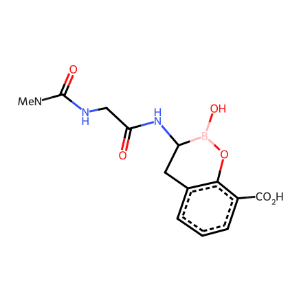 CNC(=O)NCC(=O)NC1Cc2cccc(C(=O)O)c2OB1O